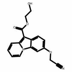 N#CCOc1ccc2c(C(=O)OCCO)c3ccccn3c2c1